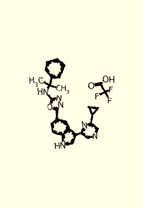 CC(C)(Nc1nnc(-c2ccc3[nH]cc(-c4cncc(C5CC5)n4)c3c2)o1)c1ccccc1.O=C(O)C(F)(F)F